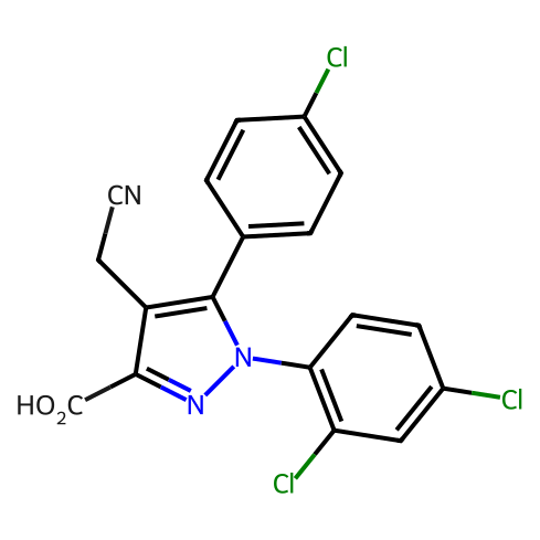 N#CCc1c(C(=O)O)nn(-c2ccc(Cl)cc2Cl)c1-c1ccc(Cl)cc1